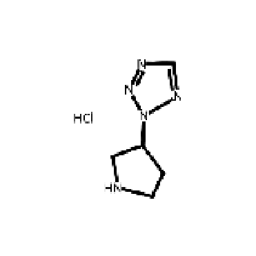 Cl.c1nnn(C2CCNC2)n1